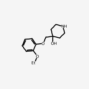 CCOc1ccccc1OCC1(O)CCNCC1